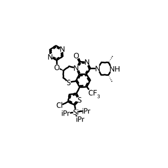 CC(C)[Si](c1sc(-c2c(C(F)(F)F)cc3c(N4C[C@@H](C)N[C@@H](C)C4)nc(=O)n4c3c2SC[C@@H](Oc2cnccn2)C4)cc1Cl)(C(C)C)C(C)C